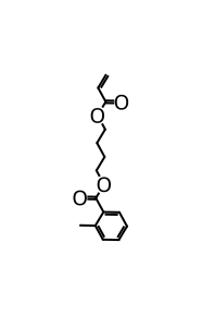 C=CC(=O)OCCCCOC(=O)c1ccccc1C